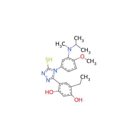 CCc1cc(-c2nnc(S)n2-c2ccc(OC)c(N(C)C(C)C)c2)c(O)cc1O